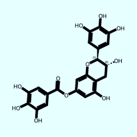 O=C(Oc1cc(O)c2c(c1)O[C@@H](c1cc(O)c(O)c(O)c1)[C@H](O)C2)c1cc(O)c(O)c(O)c1